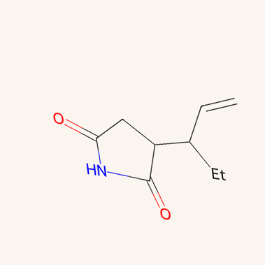 C=CC(CC)C1CC(=O)NC1=O